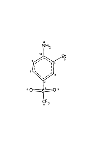 CCc1cc(S(=O)(=O)C(F)(F)F)ccc1N